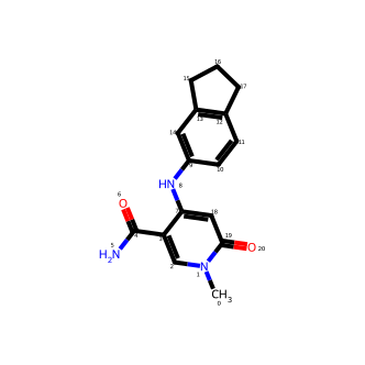 Cn1cc(C(N)=O)c(Nc2ccc3c(c2)CCC3)cc1=O